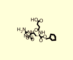 N=C(N)NC(CC[C@H](NC(=O)CCC(=O)O)C(=O)OCc1ccccc1)[N+](=O)[O-]